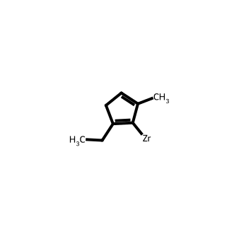 CCC1=[C]([Zr])C(C)=CC1